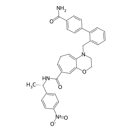 C[C@H](NC(=O)C1=CCC=C2C(=C1)OCCN2Cc1ccccc1-c1ccc(C(N)=O)cc1)c1ccc([N+](=O)[O-])cc1